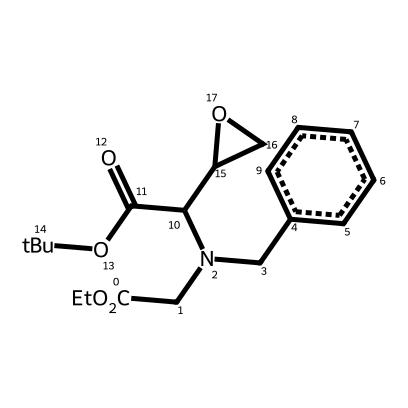 CCOC(=O)CN(Cc1ccccc1)C(C(=O)OC(C)(C)C)C1CO1